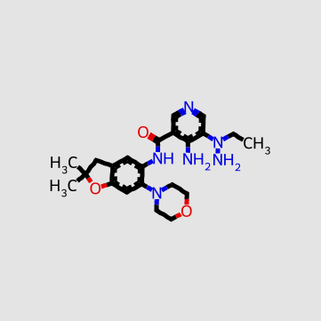 CCN(N)c1cncc(C(=O)Nc2cc3c(cc2N2CCOCC2)OC(C)(C)C3)c1N